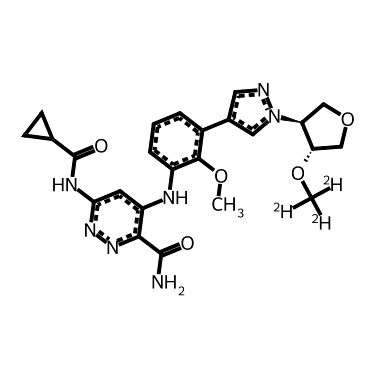 [2H]C([2H])([2H])O[C@H]1COC[C@@H]1n1cc(-c2cccc(Nc3cc(NC(=O)C4CC4)nnc3C(N)=O)c2OC)cn1